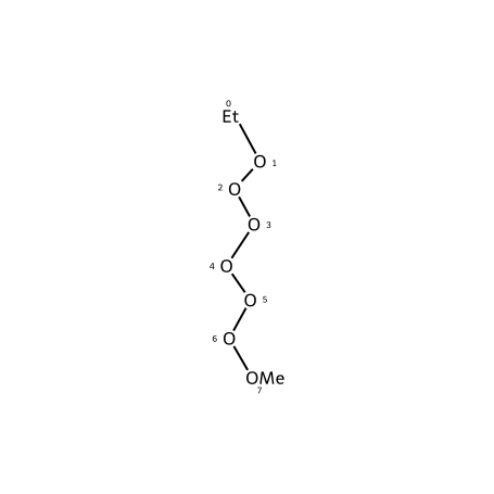 CCOOOOOOOC